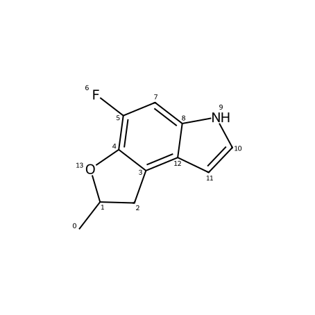 CC1Cc2c(c(F)cc3[nH]ccc23)O1